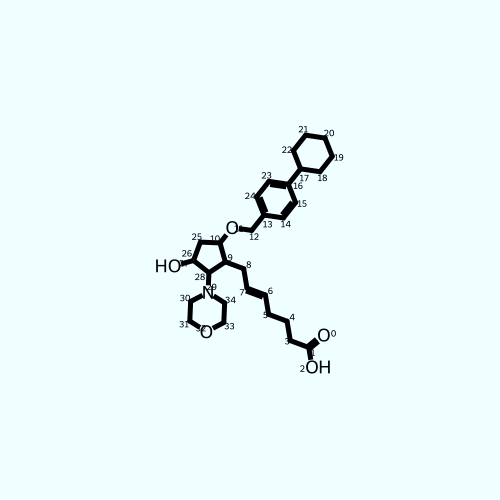 O=C(O)CCC/C=C/CC1C(OCc2ccc(C3CCCCC3)cc2)CC(O)C1N1CCOCC1